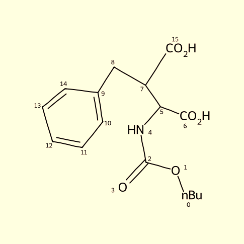 CCCCOC(=O)NC(C(=O)O)C(Cc1ccccc1)C(=O)O